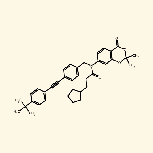 CC1(C)OC(=O)c2ccc(N(Cc3ccc(C#Cc4ccc(C(C)(C)C)cc4)cc3)C(=O)CCC3CCCC3)cc2O1